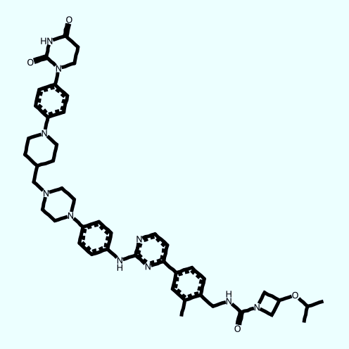 Cc1cc(-c2ccnc(Nc3ccc(N4CCN(CC5CCN(c6ccc(N7CCC(=O)NC7=O)cc6)CC5)CC4)cc3)n2)ccc1CNC(=O)N1CC(OC(C)C)C1